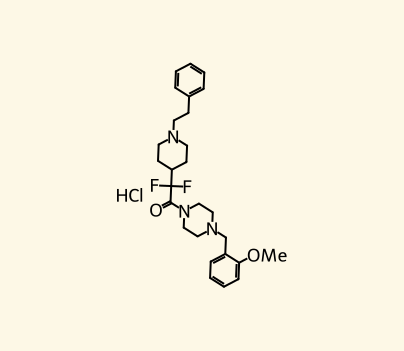 COc1ccccc1CN1CCN(C(=O)C(F)(F)C2CCN(CCc3ccccc3)CC2)CC1.Cl